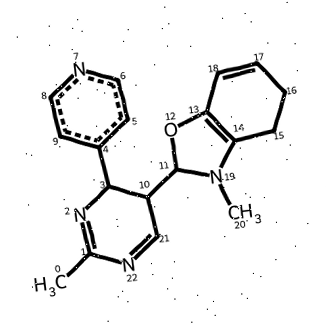 CC1=NC(c2ccncc2)C(C2OC3=C(CCC=C3)N2C)C=N1